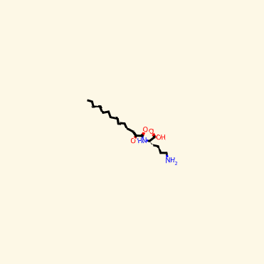 CCCCCCCCCCCCC(=O)C(=O)N[C@@H](CCCCN)C(=O)O